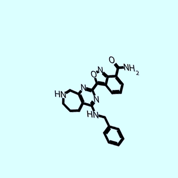 NC(=O)c1cccc2c(-c3nc4c(c(NCc5ccccc5)n3)CCCNC4)onc12